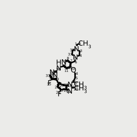 CCN1CCN(Cc2cnc3cc2OCCC(C)n2c(C)nc4c(F)cc(cc42)-c2nc(ncc2F)N3)CC1